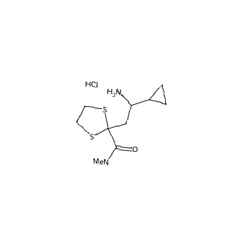 CNC(=O)C1(CC(N)C2CC2)SCCS1.Cl